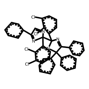 Clc1cccc(C2(C3(c4cccc(Cl)c4Cl)N=C(c4ccccc4)C(c4ccccc4)(c4ccccc4)N3)N=CC(c3ccccc3)=N2)c1Cl